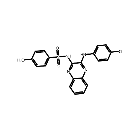 Cc1ccc(S(=O)(=O)Nc2nc3ccccc3nc2Nc2ccc(Cl)cc2)cc1